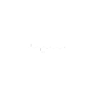 CC(O)CCC(O)CCCCCCO